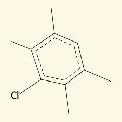 Cc1cc(C)c(C)c(Cl)c1C